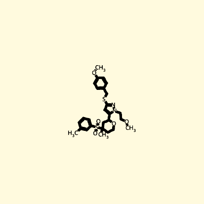 COCCn1nc(SCc2ccc(OC)cc2)cc1C1CC(C)(S(=O)(=O)c2cccc(C)c2)CCO1